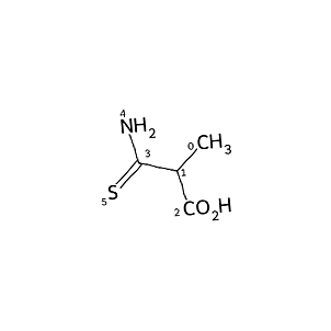 CC(C(=O)O)C(N)=S